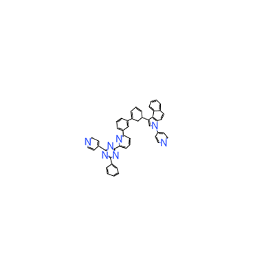 C1=CC(c2cn(-c3ccncc3)c3ccc4ccccc4c23)CC(c2cccc(-c3cccc(-c4nc(-c5ccccc5)nc(-c5ccncc5)n4)n3)c2)=C1